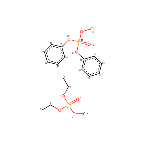 CCOP(=O)(OCl)OCC.O=P(OCl)(Oc1ccccc1)Oc1ccccc1